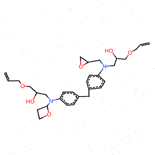 C=CCOCC(O)CN(CC1CO1)c1ccc(Cc2ccc(N(CC(O)COCC=C)C3CCO3)cc2)cc1